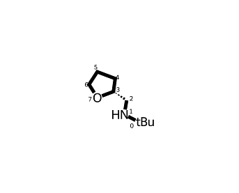 CC(C)(C)NC[C@H]1CCCO1